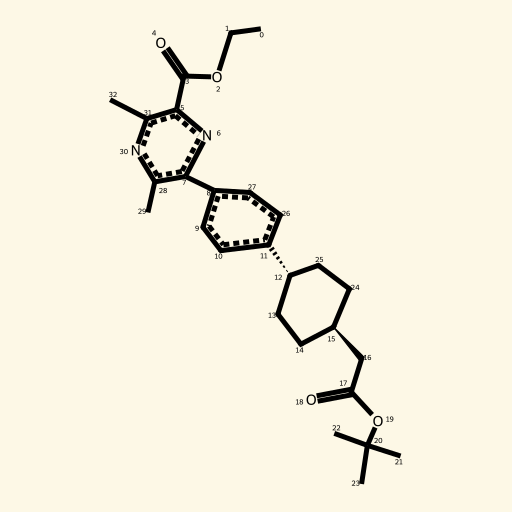 CCOC(=O)c1nc(-c2ccc([C@H]3CC[C@H](CC(=O)OC(C)(C)C)CC3)cc2)c(C)nc1C